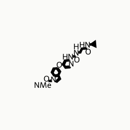 CNC(=O)n1ccc2cc(Oc3ccnc(NC(=O)NCCC(=O)NC4CC4)c3)ccc21